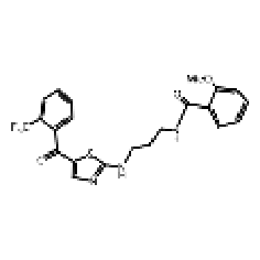 COc1ccccc1C(=O)NCCCNc1ncc(C(=O)c2ccccc2C(F)(F)F)s1